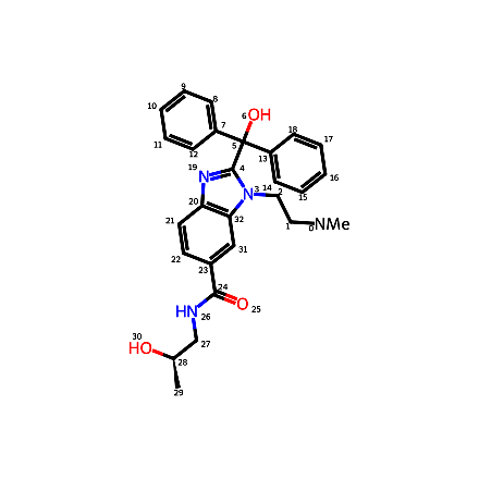 CNCCn1c(C(O)(c2ccccc2)c2ccccc2)nc2ccc(C(=O)NC[C@@H](C)O)cc21